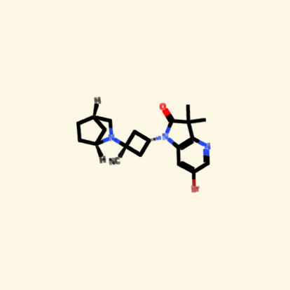 CC1(C)C(=O)N([C@H]2C[C@@](C#N)(N3C[C@H]4CC[C@@H]3C4)C2)c2cc(Br)cnc21